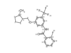 CN1CCCC1COc1cc(NC(=O)c2cccnc2F)cc(C(F)(F)F)c1